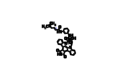 CN(C)C/C=C/C(=O)Nc1cccc(NC(=O)[C@@]2(O)CC3O[C@]2(C)n2c4ccccc4c4c5c(c6c7ccccc7n3c6c42)C(=O)NC5=O)c1